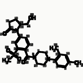 Cc1ccc(N2CCN(C(=O)c3ccc(N4C(=O)CC[C@H]4CO)cc3S(C)(=O)=O)CC2)c(C)c1